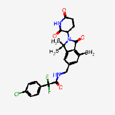 Bc1cc(CNC(=O)C(F)(F)c2ccc(Cl)cc2)cc2c1C(=O)N(C1CCC(=O)NC1=O)C2(B)B